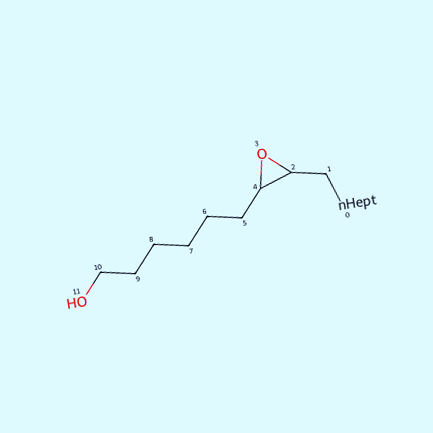 CCCCCCCCC1OC1CCCCCCO